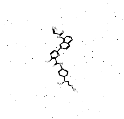 C=CC(=O)Nc1cccc2ccc(-c3ccc(N)c(C(=O)NC4CCC(N(C)CCOC)CC4)n3)cc12